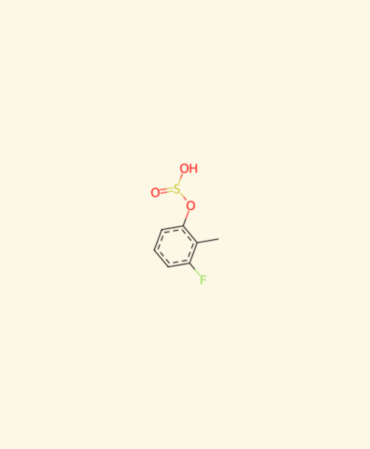 Cc1c(F)cccc1OS(=O)O